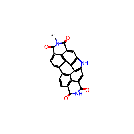 CC(C)n1c(=O)c2ccc3c4ccc5c(=O)[nH]c(=O)c6cc7[nH]c8cc(c1=O)c2c3c8c7c4c56